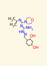 C=C(C)/N=C(\N=C(/N)N/N=C/c1ccc(O)cc1O)N1CCOCC1